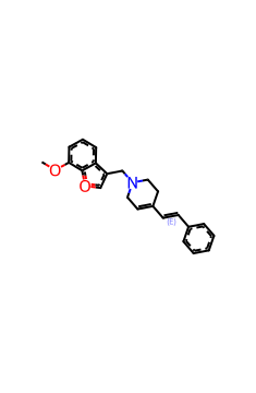 COc1cccc2c(CN3CC=C(/C=C/c4ccccc4)CC3)coc12